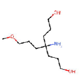 COCCCC(N)(CCCO)CCCO